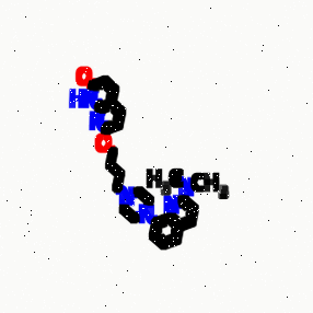 CN(C)c1ccc2cccc(N3CCN(CCCCOc4ccc5ccc(=O)[nH]c5n4)CC3)c2n1